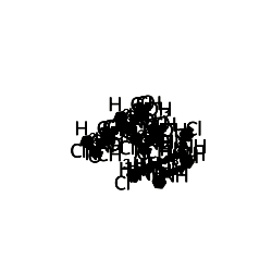 Cc1onc(-c2ccccc2Cl)c1C(=O)N[C@@H]1C(=O)N2[C@@H]1SC(C)(C)[C@@H]2C(=O)O.Cc1onc(-c2ccccc2Cl)c1C(=O)N[C@@H]1C(=O)N2[C@@H]1SC(C)(C)[C@@H]2C(=O)O.Cc1onc(-c2ccccc2Cl)c1C(=O)N[C@@H]1C(=O)N2[C@@H]1SC(C)(C)[C@@H]2C(=O)O.N=C(NCCCCCCNC(=N)NC(=N)Nc1ccc(Cl)cc1)NC(=N)Nc1ccc(Cl)cc1.c1ccc(CNCCNCc2ccccc2)cc1